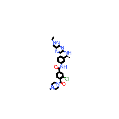 CCn1cc2ncc(N[C@@H](C)c3cccc(NC(=O)c4ccc(C(=O)N5CCN(C)CC5)c(Cl)c4)c3)nc2n1